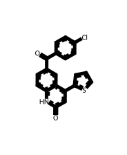 O=C(c1ccc(Cl)cc1)c1ccc2[nH]c(=O)cc(-c3cccs3)c2c1